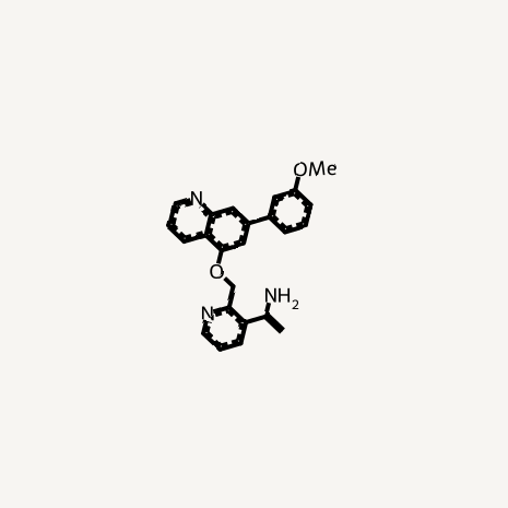 C=C(N)c1cccnc1COc1cc(-c2cccc(OC)c2)cc2ncccc12